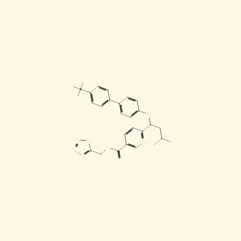 CC(C)CC(Nc1ccc(-c2ccc(C(F)(F)F)cc2)cc1)c1ccc(C(=O)NCc2nnn[nH]2)cn1